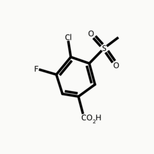 CS(=O)(=O)c1cc(C(=O)O)cc(F)c1Cl